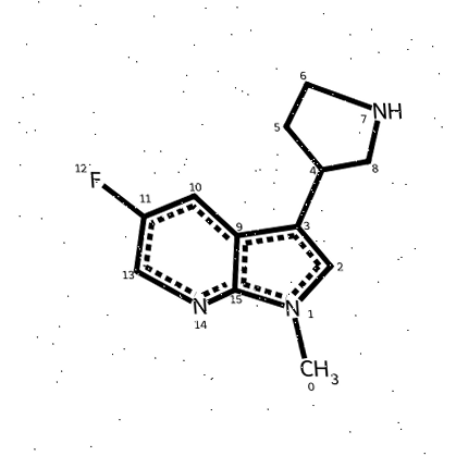 Cn1cc(C2CCNC2)c2cc(F)cnc21